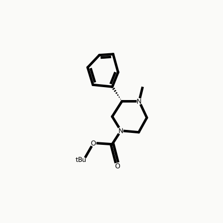 CN1CCN(C(=O)OC(C)(C)C)C[C@@H]1c1ccccc1